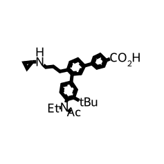 CCN(C(C)=O)c1ccc(-c2cc(-c3ccc(C(=O)O)cc3)ccc2CCCNC2CC2)cc1C(C)(C)C